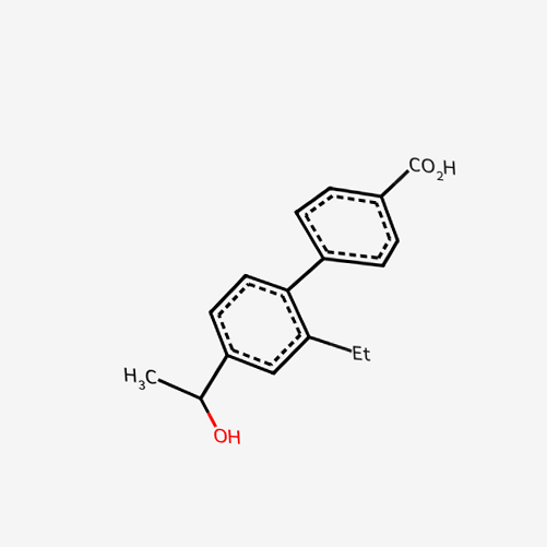 CCc1cc(C(C)O)ccc1-c1ccc(C(=O)O)cc1